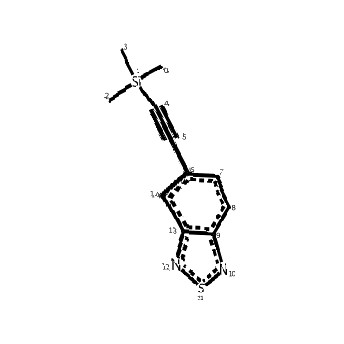 C[Si](C)(C)C#Cc1ccc2nsnc2c1